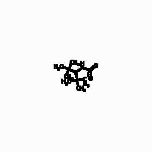 CC(C)(C)N(N[SH](=O)=O)C(C)(C)C